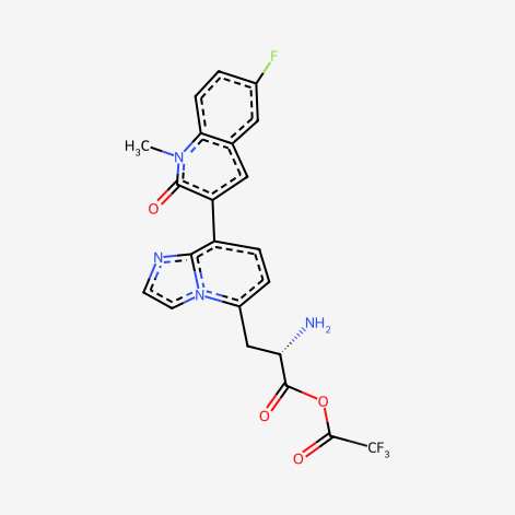 Cn1c(=O)c(-c2ccc(C[C@H](N)C(=O)OC(=O)C(F)(F)F)n3ccnc23)cc2cc(F)ccc21